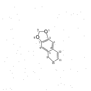 [CH]1Oc2cc3c(cc2O1)CCC=C3